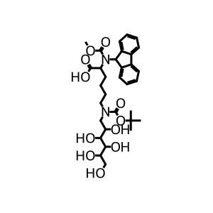 COC(=O)N(C(CCCCN(CC(O)C(O)C(O)C(O)CO)C(=O)OC(C)(C)C)C(=O)O)C1c2ccccc2-c2ccccc21